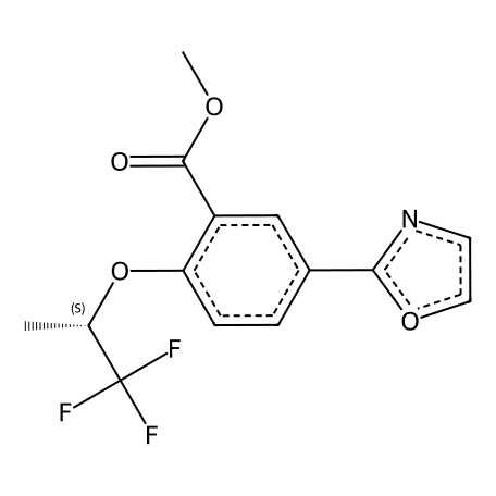 COC(=O)c1cc(-c2ncco2)ccc1O[C@@H](C)C(F)(F)F